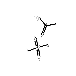 CC(N)=O.CS(C)(=O)=O